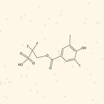 O=C(OCC(F)(F)S(=O)(=O)O)c1cc(I)c(O)c(I)c1